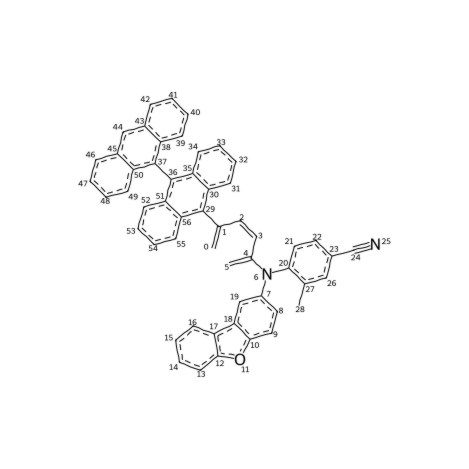 C=C(/C=C\C(=C)N(c1ccc2oc3ccccc3c2c1)c1ccc(C#N)cc1C)c1c2ccccc2c(-c2c3ccccc3cc3ccccc23)c2ccccc12